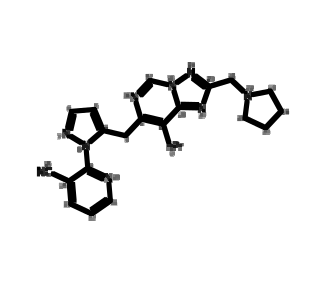 CCCc1c(Cc2ccnn2-c2ncccc2C#N)ncn2nc(CN3CCCC3)nc12